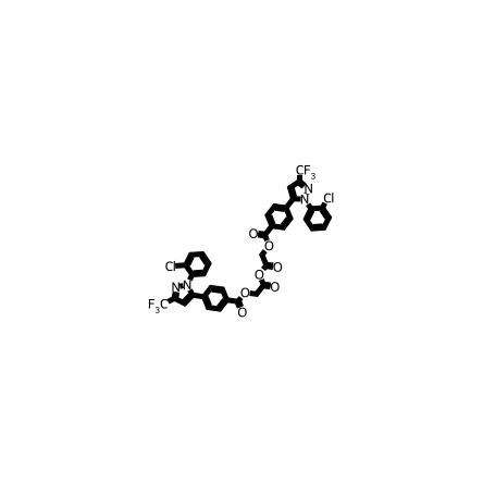 O=C(COC(=O)c1ccc(-c2cc(C(F)(F)F)nn2-c2ccccc2Cl)cc1)OC(=O)COC(=O)c1ccc(-c2cc(C(F)(F)F)nn2-c2ccccc2Cl)cc1